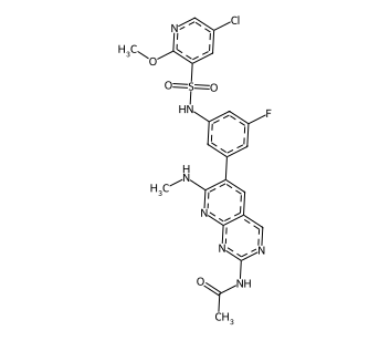 CNc1nc2nc(NC(C)=O)ncc2cc1-c1cc(F)cc(NS(=O)(=O)c2cc(Cl)cnc2OC)c1